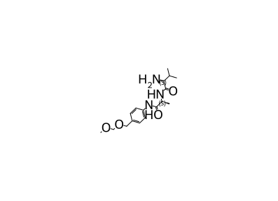 COCOCc1ccc(NC(=O)[C@H](C)NC(=O)[C@@H](N)C(C)C)cc1